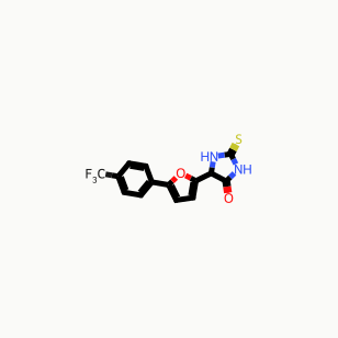 O=C1NC(=S)NC1c1ccc(-c2ccc(C(F)(F)F)cc2)o1